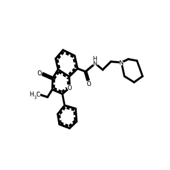 CCc1c(-c2ccccc2)oc2c(C(=O)NCCN3CCCCC3)cccc2c1=O